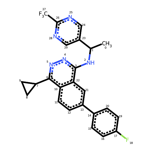 CC(Nc1nnc(C2CC2)c2ccc(-c3ccc(F)cc3)cc12)c1cnc(C(F)(F)F)nc1